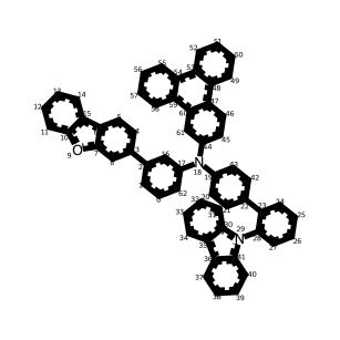 c1cc(-c2ccc3c(c2)oc2ccccc23)cc(N(c2ccc(-c3ccccc3-n3c4ccccc4c4ccccc43)cc2)c2ccc3c4ccccc4c4ccccc4c3c2)c1